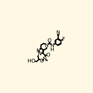 CN1OC(CO)Cn2nc3c(c2C1=O)CN(C(=O)Nc1ccc(F)c(C#N)c1)CC3